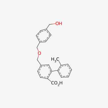 Cc1ccccc1-c1cc(COCc2ccc(CO)cc2)ccc1C(=O)O